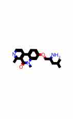 Cc1nccc2c1c(=O)n(C)c1cc(OCC(N)CC(C)C)ccc21